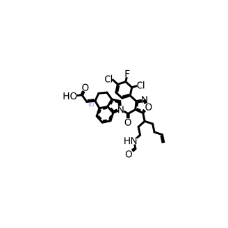 C=CCCC(CCNC=O)c1onc(C2=CC=C(Cl)C(F)C2Cl)c1C(=O)n1cc2c3c(cccc31)/C(=C/C(=O)O)CC2